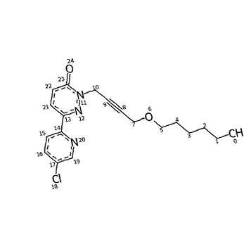 CCCCCCOCC#CCn1nc(-c2ccc(Cl)cn2)ccc1=O